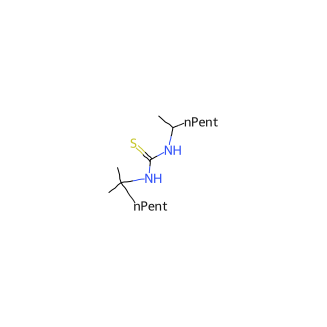 CCCCCC(C)NC(=S)NC(C)(C)CCCCC